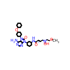 COCCN(O)C/C=C/C(=O)Nc1cccc(-n2c(=O)n(-c3ccc(Oc4ccccc4)cc3)c3c(N)ncnc32)c1